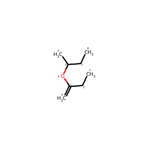 C=C(CC)OC(C)CC